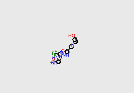 CNC(=O)c1cccc(C)c1Nc1nc(Nc2ccc(C3CCN(C4C5CC6CC4CC(O)(C6)C5)CC3)cc2OC)ncc1C(F)(F)F